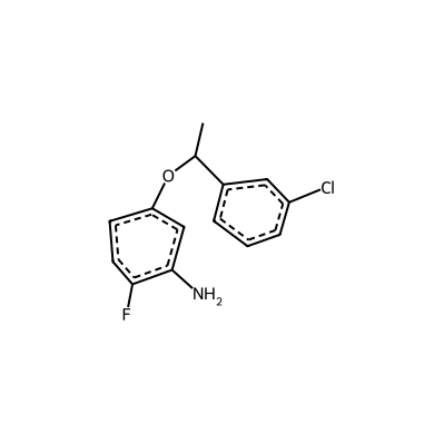 CC(Oc1ccc(F)c(N)c1)c1cccc(Cl)c1